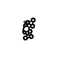 Cc1cc2cc(c1)n(-c1cccc3c4ccccc4c4ccccc4c13)c1cccc3c1c1cc2ccc1C31c2ccccc2-c2ccccc21